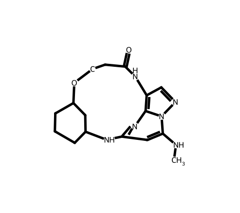 CNc1cc2nc3c(cnn13)NC(=O)CCOC1CCCC(C1)N2